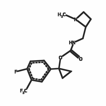 CN1CCC1CNC(=O)OC1(c2ccc(F)c(C(F)(F)F)c2)CC1